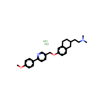 COc1ccc(-c2ccc(COc3ccc4c(c3)CCC(CCN(C)C)C4)cn2)cc1.Cl.Cl